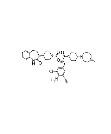 C#Cc1cc(C[C@@H](OC(=O)N2CCC(N3CCc4ccccc4NC3=O)CC2)C(=O)N2CCC(N3CCCN(C)CC3)CC2)cc(Cl)c1N